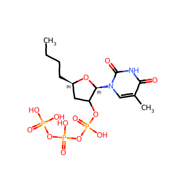 CCCC[C@@H]1CC(OP(=O)(O)OP(=O)(O)OP(=O)(O)O)[C@H](n2cc(C)c(=O)[nH]c2=O)O1